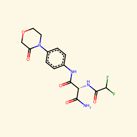 NC(=O)[C@@H](NC(=O)C(F)F)C(=O)Nc1ccc(N2CCOCC2=O)cc1